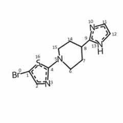 Brc1cnc(N2CCC(c3ncc[nH]3)CC2)s1